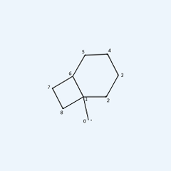 [CH2]C12CCCCC1CC2